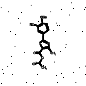 Cc1nc(-c2ccc(OCC(C)C)c(C#N)c2)sc1C(=O)OC(C)Cl